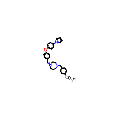 O=C(O)c1ccc(CN2CCCN(Cc3ccc(Oc4ccc(-n5cccc5)cc4)cc3)CC2)cc1